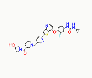 O=C(Nc1ccc(Oc2ccnc3cc(-c4ccc(CN5CCCC(C(=O)N6CC[C@H](O)C6)C5)cn4)sc23)c(F)c1)NC1CC1